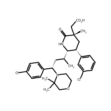 CC(C[C@@H](c1ccc(Cl)cc1)N1CCOCC1(C)C)[C@@H]1NC(=O)[C@](C)(CC(=O)O)C[C@@H]1c1cccc(Cl)c1